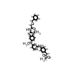 CN(c1ccc2c(c1)nc(NC(=O)COCc1ccccc1)n2C)c1ccnc(Nc2ccc(CS(C)(=O)=O)cc2)n1